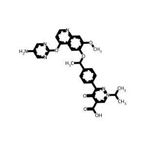 COc1cc2nccc(Oc3ncc(N)cn3)c2cc1OC(C)c1ccc(-c2nn(C(C)C)cc(C(=O)O)c2=O)cc1